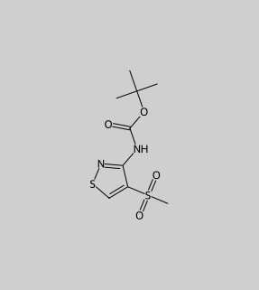 CC(C)(C)OC(=O)Nc1nscc1S(C)(=O)=O